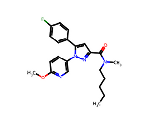 CCCCCN(C)C(=O)c1cc(-c2ccc(F)cc2)n(-c2ccc(OC)nc2)n1